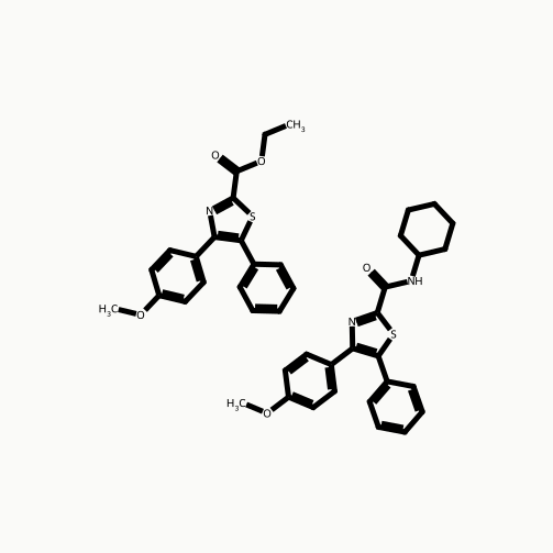 CCOC(=O)c1nc(-c2ccc(OC)cc2)c(-c2ccccc2)s1.COc1ccc(-c2nc(C(=O)NC3CCCCC3)sc2-c2ccccc2)cc1